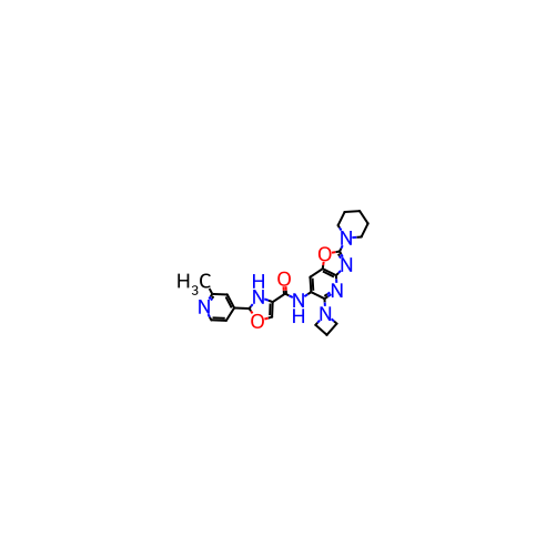 Cc1cc(C2NC(C(=O)Nc3cc4oc(N5CCCCC5)nc4nc3N3CCC3)=CO2)ccn1